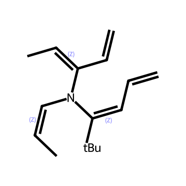 C=C/C=C(\N(/C=C\C)/C(C=C)=C\C)C(C)(C)C